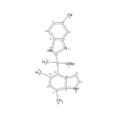 COC(C)(c1nc2cc(C#N)ccc2[nH]1)c1c(C)cc(C)c2[nH]ccc12